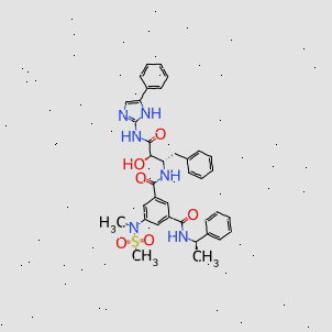 C[C@@H](NC(=O)c1cc(C(=O)N[C@@H](Cc2ccccc2)[C@@H](O)C(=O)Nc2ncc(-c3ccccc3)[nH]2)cc(N(C)S(C)(=O)=O)c1)c1ccccc1